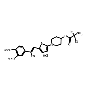 CCC(N)(CC)C(=O)OC1CCN(c2ccc(/C=C(\C#N)c3ccc(OC)c(OC)c3)s2)CC1.Cl